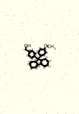 COc1ccc(C2(c3ccc(CO)cc3)c3ccccc3-c3ccccc32)cc1